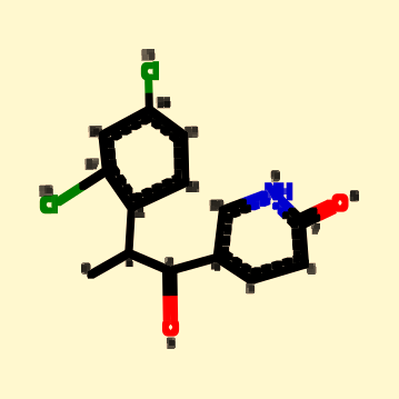 CC(C(=O)c1ccc(=O)[nH]c1)c1ccc(Cl)cc1Cl